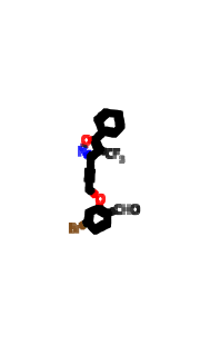 O=Cc1ccc(Br)cc1OCC#Cc1noc(-c2ccccc2)c1C(F)(F)F